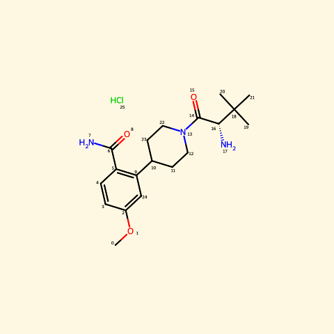 COc1ccc(C(N)=O)c(C2CCN(C(=O)[C@@H](N)C(C)(C)C)CC2)c1.Cl